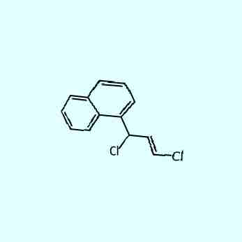 Cl/C=C/C(Cl)c1cccc2ccccc12